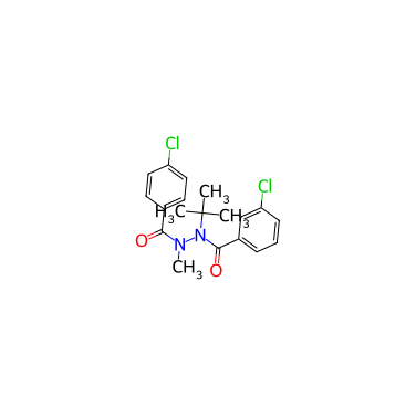 CN(C(=O)c1ccc(Cl)cc1)N(C(=O)c1cccc(Cl)c1)C(C)(C)C